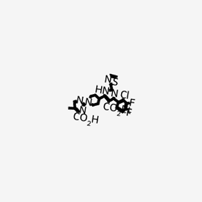 CCOC(=O)C1=C(C2CCN(c3ncc(C)c(C(=O)O)n3)CC2)NC(c2nccs2)=NC1c1ccc(F)c(F)c1Cl